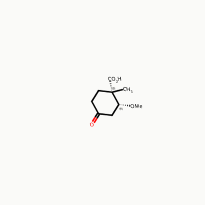 CO[C@@H]1CC(=O)CC[C@]1(C)C(=O)O